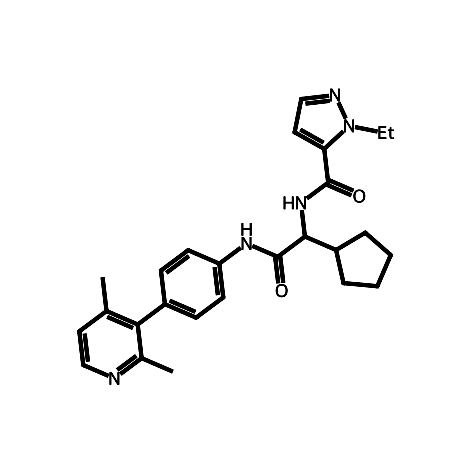 CCn1nccc1C(=O)NC(C(=O)Nc1ccc(-c2c(C)ccnc2C)cc1)C1CCCC1